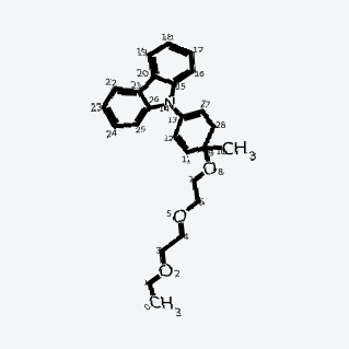 CCOCCOCCOC1(C)C=CC(n2c3ccccc3c3ccccc32)=CC1